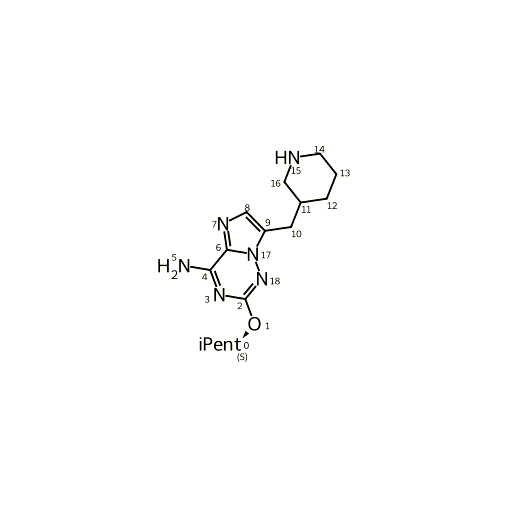 CCC[C@H](C)Oc1nc(N)c2ncc(CC3CCCNC3)n2n1